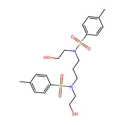 Cc1ccc(S(=O)(=O)N(CCO)CCCN(CCO)S(=O)(=O)c2ccc(C)cc2)cc1